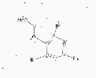 COCOc1c(Br)cc(F)cc1Br